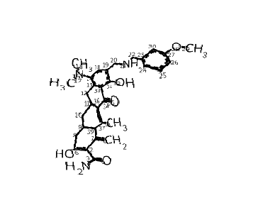 C=C1C(C(N)=O)=C(O)CC2CC3Cc4c(N(C)C)cc(CNCc5cccc(OC)c5)c(O)c4C(=O)C3=C(C)C12